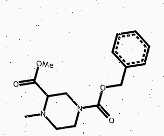 COC(=O)C1CN(C(=O)OCc2ccccc2)CCN1C